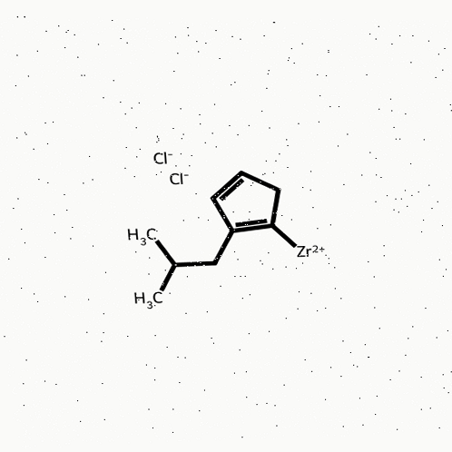 CC(C)CC1=[C]([Zr+2])CC=C1.[Cl-].[Cl-]